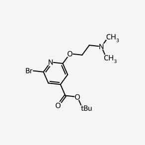 CN(C)CCOc1cc(C(=O)OC(C)(C)C)cc(Br)n1